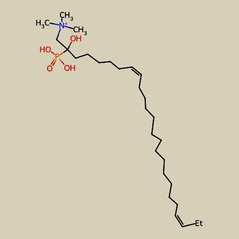 CC/C=C\CCCCCCCCCCCC/C=C\CCCCCC(O)(C[N+](C)(C)C)P(=O)(O)O